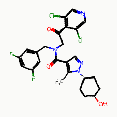 O=C(CN(Cc1cc(F)cc(F)c1)C(=O)c1cnn([C@H]2CC[C@H](O)CC2)c1C(F)(F)F)c1c(Cl)cncc1Cl